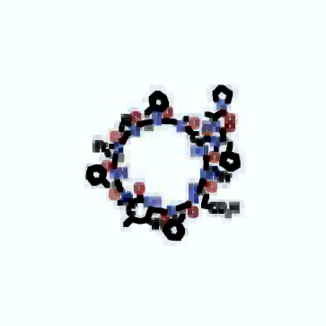 CC(C)C[C@@H]1NC(=O)[C@H](CCC(=O)O)NC(=O)[C@H](Cc2ccccc2)N(C)C(=O)[C@@]2(C)NC(=O)[C@H](CC(C)CC2C(C)C)N(C)C(=O)[C@H](Cc2ccccc2)NC(=O)[C@H](CC(C)C)N(C)C(=O)[C@H](CC(C)C)N(C)C(=O)[C@H](Cc2ccccc2)NC(=O)CN(C)C(=O)C[C@@H](C(=O)N(C)[C@@H](Cc2ccccc2)C(=O)N[C@@H](C)C(=O)N2CCCCC2)NC1=O